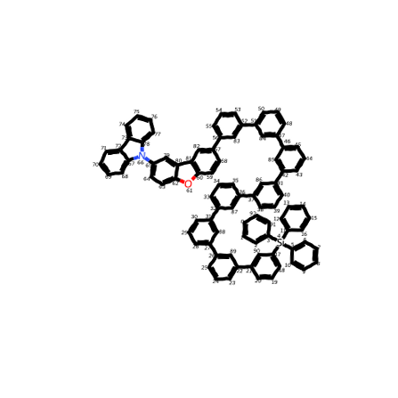 c1ccc([Si](c2ccccc2)(c2ccccc2)c2cccc(-c3cccc(-c4cccc(-c5cccc(-c6cccc(-c7cccc(-c8cccc(-c9cccc(-c%10ccc%11oc%12ccc(-n%13c%14ccccc%14c%14ccccc%14%13)cc%12c%11c%10)c9)c8)c7)c6)c5)c4)c3)c2)cc1